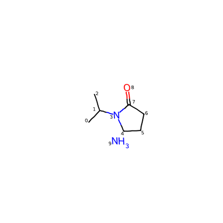 CC(C)N1CCCC1=O.N